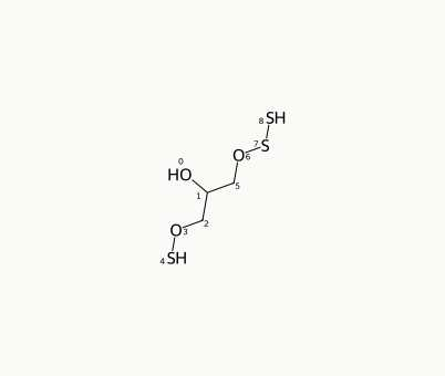 OC(COS)COSS